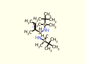 C/C=C(\C)[SiH](N[Si](C)(C)C(C)(C)C)N[Si](C)(C)C(C)(C)C